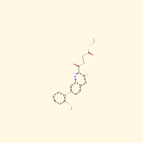 CCOC(=O)CCC(=O)c1nc2cc(-c3ccccc3OC)ccc2cc1O